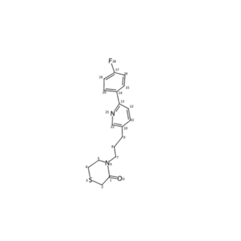 O=C1CSCCN1CCCc1ccc(-c2ccc(F)cc2)nc1